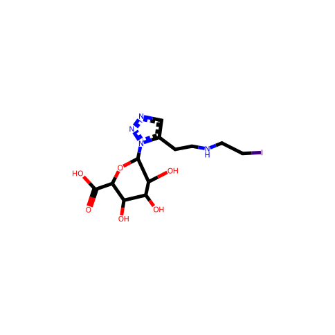 O=C(O)C1OC(n2nncc2CCNCCI)C(O)C(O)C1O